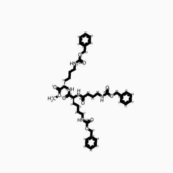 COC(=O)[C@H](CCCCNC(=O)OCc1ccccc1)NC(=O)[C@H](CCCCNC(=O)OCc1ccccc1)NC(=O)CCCNC(=O)OCc1ccccc1